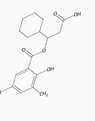 Cc1cc(I)cc(C(=O)OC(CC(=O)O)C2CCCCC2)c1O